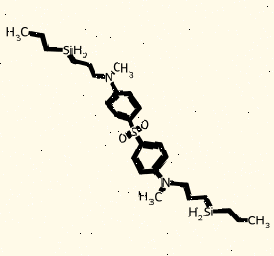 CCC[SiH2]CCCN(C)c1ccc(S(=O)(=O)c2ccc(N(C)CCC[SiH2]CCC)cc2)cc1